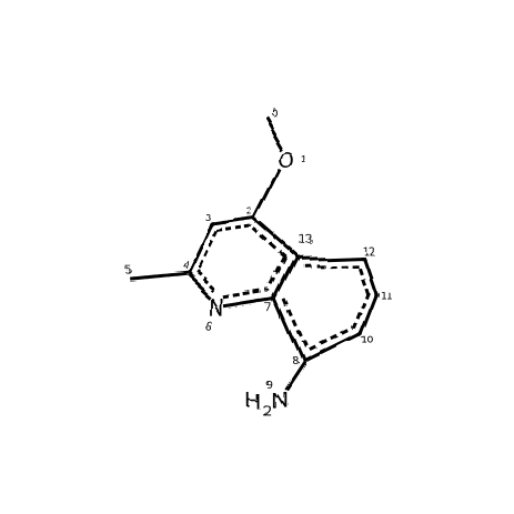 COc1cc(C)nc2c(N)cccc12